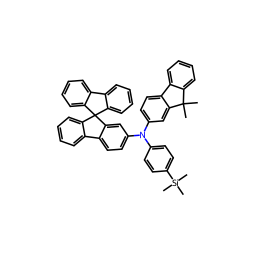 CC1(C)c2ccccc2-c2ccc(N(c3ccc([Si](C)(C)C)cc3)c3ccc4c(c3)C3(c5ccccc5-c5ccccc53)c3ccccc3-4)cc21